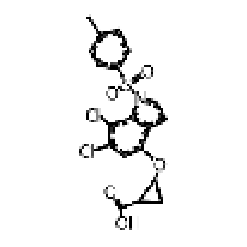 Cc1ccc(S(=O)(=O)n2ccc3c(OC4CC4C(=O)O)cc(Cl)c(Cl)c32)cc1